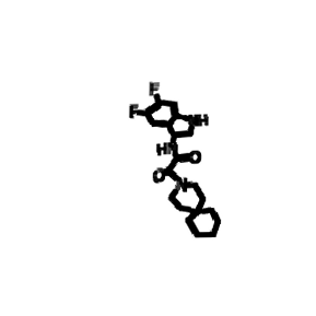 O=C(Nc1c[nH]c2cc(F)c(F)cc12)C(=O)N1CCC2(CCCCC2)CC1